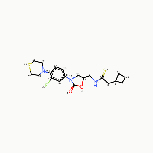 O=C1OC(CNC(=S)CC2CCC2)CN1c1ccc(N2CCSCC2)c(F)c1